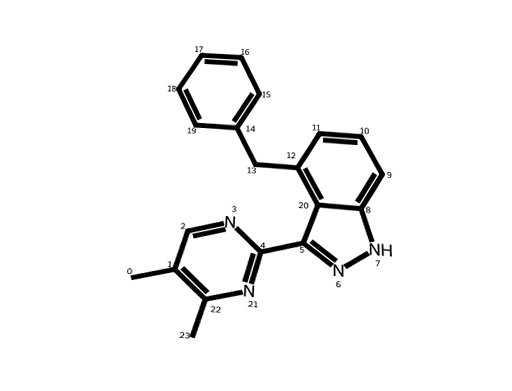 Cc1cnc(-c2n[nH]c3cccc(Cc4ccccc4)c23)nc1C